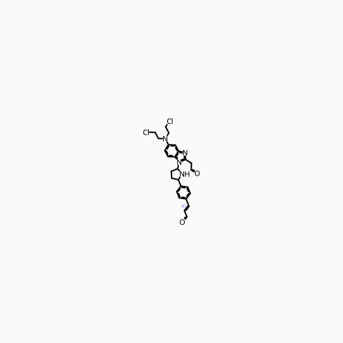 O=C/C=C/c1ccc(C2CCC(n3c(CC=O)nc4cc(N(CCCl)CCCl)ccc43)N2)cc1